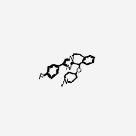 CN1CCC(OC2c3ccccc3CCn3cc(-c4ccc(F)cc4)nc32)CC1